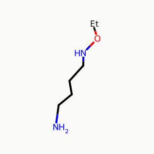 CCONCCCCN